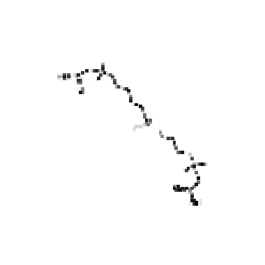 CC(C)(CCCCC[S+]([O-])CCCCCC(C)(C)CC(=O)O)CC(=O)O